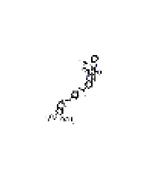 COc1cc2c(cc1OC)CN(CCc1ccc(NC(=O)c3cccc(/C=c4\[nH]c(=O)/c(=C/c5ccccc5)n(CC(=O)O)c4=O)c3)cc1)CC2